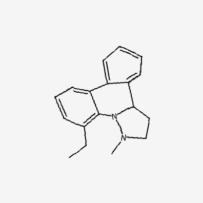 CCc1cccc2c1N1C(CCN1C)c1ccccc1-2